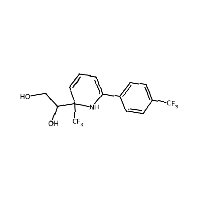 OCC(O)C1(C(F)(F)F)C=CC=C(c2ccc(C(F)(F)F)cc2)N1